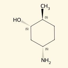 C[C@H]1CC[C@H](N)C[C@@H]1O